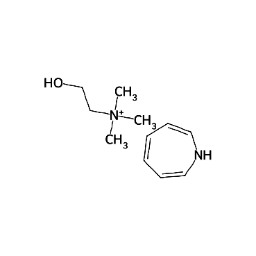 C1=CC=CNC=C1.C[N+](C)(C)CCO